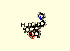 CC1(C)c2ccccc2C2(c3ccccc3Oc3ccccc32)c2ccc(-c3cccc(-c4ccccn4)c3)cc21